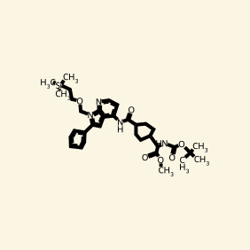 COC(=O)C(NC(=O)OC(C)(C)C)C1CCC(C(=O)Nc2ccnc3c2cc(-c2ccccc2)n3COCC[Si](C)(C)C)CC1